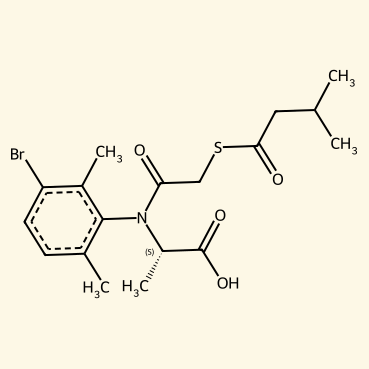 Cc1ccc(Br)c(C)c1N(C(=O)CSC(=O)CC(C)C)[C@@H](C)C(=O)O